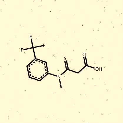 CN(C(=S)CC(=O)O)c1cccc(C(F)(F)F)c1